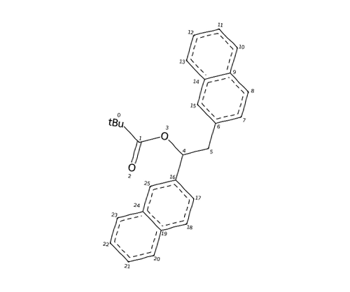 CC(C)(C)C(=O)OC(Cc1ccc2ccccc2c1)c1ccc2ccccc2c1